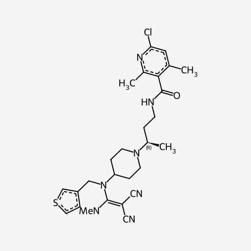 CNC(=C(C#N)C#N)N(Cc1ccsc1)C1CCN([C@H](C)CCNC(=O)c2c(C)cc(Cl)nc2C)CC1